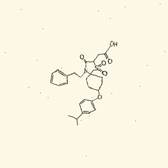 CC(C)c1ccc(OC2CCC3(CC2)N(CCc2ccccc2)C(=O)C(CC(=O)O)S3(=O)=O)cc1